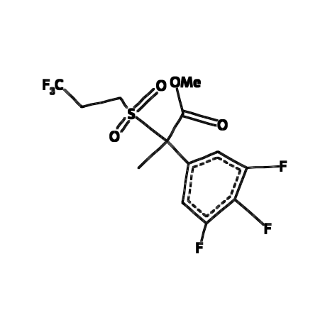 COC(=O)C(C)(c1cc(F)c(F)c(F)c1)S(=O)(=O)CCC(F)(F)F